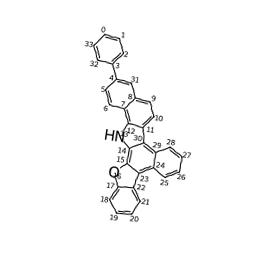 c1ccc(-c2ccc3c(ccc4c3[nH]c3c5oc6ccccc6c5c5ccccc5c43)c2)cc1